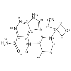 CC1CCN(C2(CC#N)COC2)CC1N(C)c1c(C(N)=O)nnc2[nH]ccc12